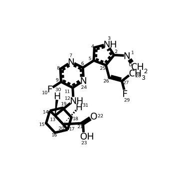 C=Nc1[nH]cc(-c2ncc(F)c(N[C@H]3C4CCC(CC4)[C@@H]3C(=O)O)n2)c1/C=C(\C)F